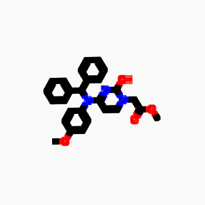 COC(=O)CN1C=CC(N(c2ccc(OC)cc2)C(c2ccccc2)c2ccccc2)=NC1O